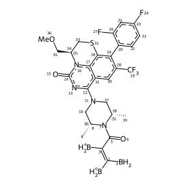 BC(B)=C(B)C(=O)N1[C@H](C)CN(c2nc(=O)n3c4c(c(-c5ccc(F)cc5F)c(C(F)(F)F)cc24)SC[C@@H]3COC)C[C@@H]1C